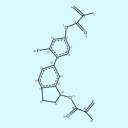 C=C(C)C(=O)Oc1ccc(-c2ccc3c(c2)C(OC(=O)C(=C)C)CC3)c(F)c1